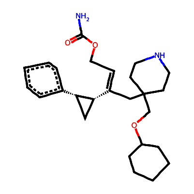 NC(=O)OCC=C(CC1(COC2CCCCC2)CCNCC1)[C@@H]1C[C@@H]1c1ccccc1